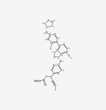 CC#CC(CC(=O)OC)c1ccc(O[C@@H]2CCc3c(-c4ccc(O[C@@H]5CCOC5)nc4C)ccc(F)c32)cc1